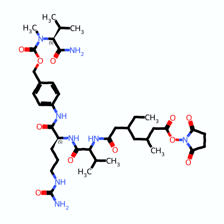 CCC(CC(=O)NC(C(=O)N[C@@H](CCCNC(N)=O)C(=O)Nc1ccc(COC(=O)N(C)[C@H](C(N)=O)C(C)C)cc1)C(C)C)CC(C)CC(=O)ON1C(=O)CCC1=O